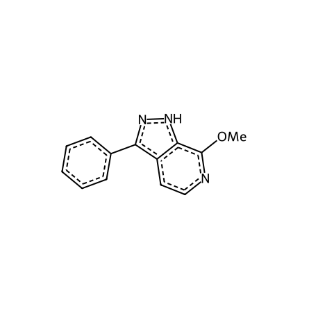 COc1nccc2c(-c3ccccc3)n[nH]c12